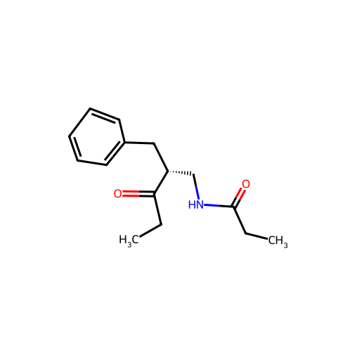 CCC(=O)NC[C@@H](Cc1ccccc1)C(=O)CC